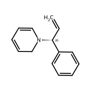 C=C[C@H](c1ccccc1)N1C=CC=CC1